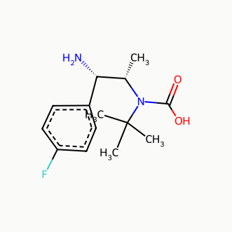 C[C@@H]([C@@H](N)c1ccc(F)cc1)N(C(=O)O)C(C)(C)C